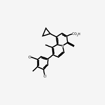 C=C1C(C(=O)O)=CC(C2CC2)=C2C(C)=C(c3cc(Cl)c(C)c(Cl)c3)C=CN12